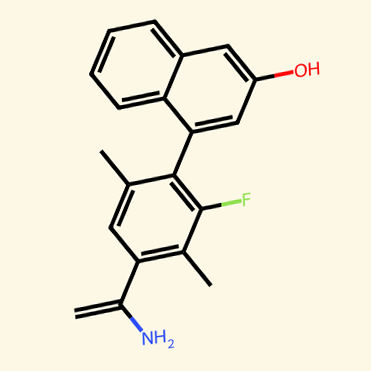 C=C(N)c1cc(C)c(-c2cc(O)cc3ccccc23)c(F)c1C